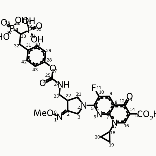 CO/N=C1/CN(c2nc3c(cc2F)c(=O)c(C(=O)O)cn3C2CC2)CC1CNC(=O)Oc1ccc(CC(P(=O)(O)O)P(=O)(O)O)cc1